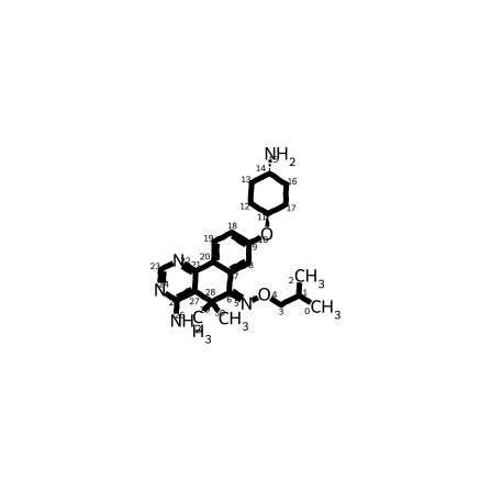 CC(C)CO/N=C1\c2cc(O[C@H]3CC[C@H](N)CC3)ccc2-c2ncnc(N)c2C1(C)C